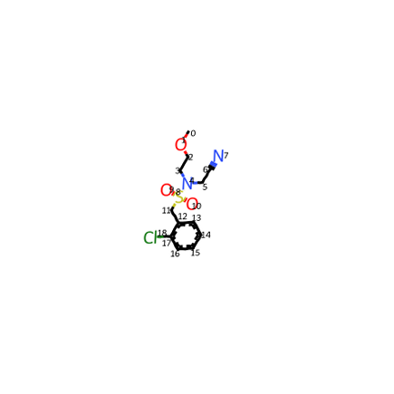 COCCN(CC#N)S(=O)(=O)Cc1ccccc1Cl